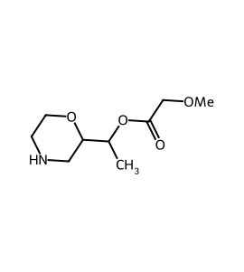 COCC(=O)OC(C)C1CNCCO1